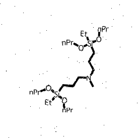 CCCO[Si](CC)(CCCN(C)CCC[Si](CC)(OCCC)OCCC)OCCC